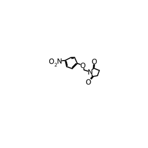 O=C1CCC(=O)N1COc1ccc([N+](=O)[O-])cc1